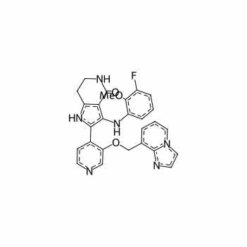 COc1c(F)cccc1Nc1c(-c2ccncc2OCc2cccn3ccnc23)[nH]c2c1C(=O)NCC2